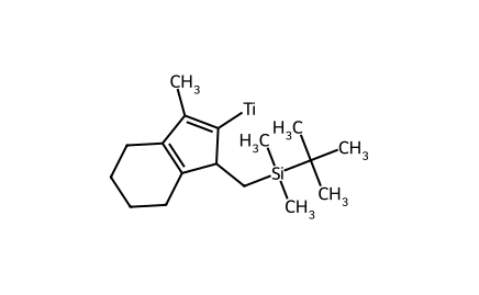 CC1=[C]([Ti])C(C[Si](C)(C)C(C)(C)C)C2=C1CCCC2